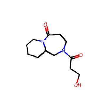 O=C(CCO)N1CCC(=O)N2CCCCC2C1